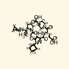 C[C@@H](Oc1cc(C(=O)N[C@@H](CCC(=O)O)C(=O)N2CCN(C(=O)O)CC2)nn1-c1ccccc1)C(=O)N1CCC[C@H]1C(=O)NCC1CC1